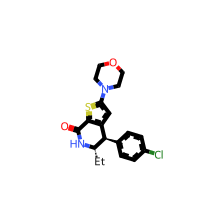 CC[C@@H]1NC(=O)c2sc(N3CCOCC3)cc2[C@H]1c1ccc(Cl)cc1